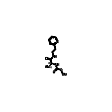 CC[C@H](C)[C@H](NC(=O)OC(C)(C)C)C(=O)NCCc1ccccn1